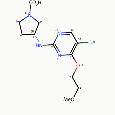 COCCOc1nc(N[C@@H]2CCN(C(=O)O)C2)ncc1Cl